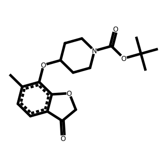 Cc1ccc2c(c1OC1CCN(C(=O)OC(C)(C)C)CC1)OCC2=O